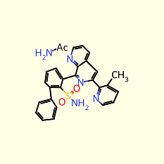 CC(N)=O.Cc1cccnc1-c1cc2cccnc2c(-c2cccc(-c3ccccc3)c2S(N)(=O)=O)n1